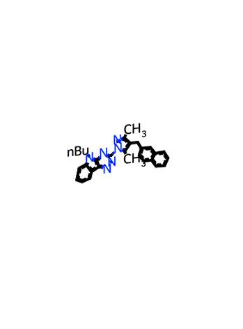 CCCCn1c2ccccc2c2nnc(-n3nc(C)c(Cc4ccc5ccccc5c4)c3C)nc21